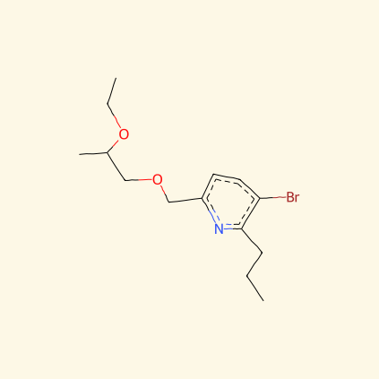 CCCc1nc(COCC(C)OCC)ccc1Br